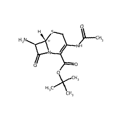 CC(=O)NC1=C(C(=O)OC(C)(C)C)N2C(=O)C(N)[C@@H]2SC1